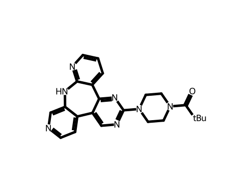 CC(C)(C)C(=O)N1CCN(c2ncc3c(n2)-c2cccnc2Nc2cnccc2-3)CC1